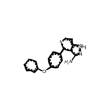 Nc1n[nH]c2ccnc(-c3ccc(Oc4ccccc4)cc3)c12